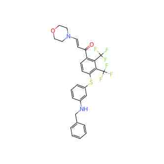 O=C(C=CN1CCOCC1)c1ccc(Sc2cccc(NCc3ccccc3)c2)c(C(F)(F)F)c1C(F)(F)F